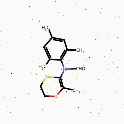 CC1=C(N(C=O)c2c(C)cc(C)cc2C)SCCO1